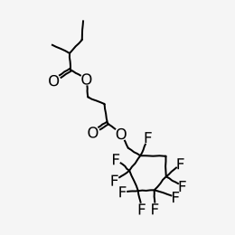 CCC(C)C(=O)OCCC(=O)OCC1(F)CC(F)(F)C(F)(F)C(F)(F)C1(F)F